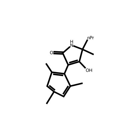 CCCC1(C)NC(=O)C(c2c(C)cc(C)cc2C)=C1O